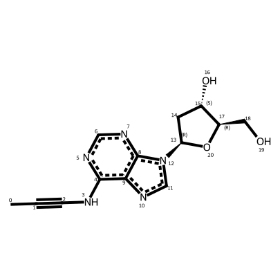 CC#CNc1ncnc2c1ncn2[C@H]1C[C@H](O)[C@@H](CO)O1